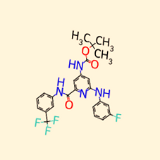 CC(C)(C)OC(=O)Nc1cc(Nc2cccc(F)c2)nc(C(=O)Nc2cccc(C(F)(F)F)c2)c1